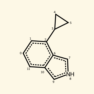 c1cc(C2CC2)c2c[nH]cc2c1